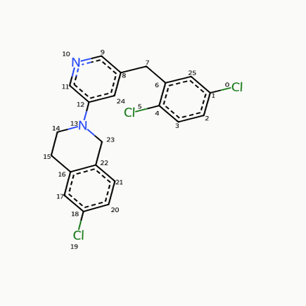 Clc1ccc(Cl)c(Cc2cncc(N3CCc4cc(Cl)ccc4C3)c2)c1